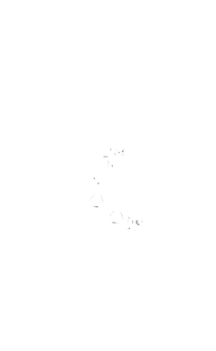 CS(=O)(=O)Nc1ccc(Oc2ccc(CN3CCC(N(CC4CCCCC4)C(=O)NCCC4CCCCC4)CC3)cc2)cc1.Cl